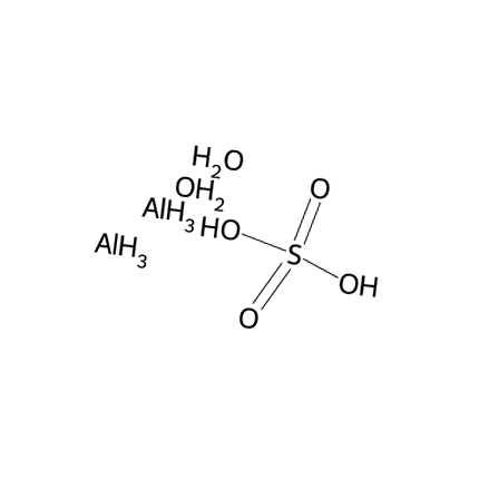 O.O.O=S(=O)(O)O.[AlH3].[AlH3]